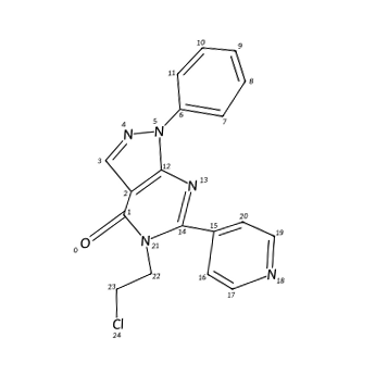 O=c1c2cnn(-c3ccccc3)c2nc(-c2ccncc2)n1CCCl